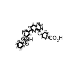 O=C(O)N1CCC(Oc2ncnc3ccc(-c4cncc(NS(=O)(=O)c5ccccc5)c4)nc23)CC1